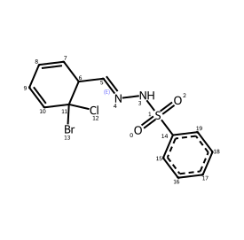 O=S(=O)(N/N=C/C1C=CC=CC1(Cl)Br)c1ccccc1